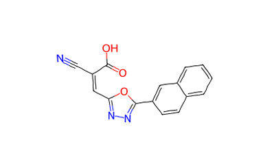 N#CC(=Cc1nnc(-c2ccc3ccccc3c2)o1)C(=O)O